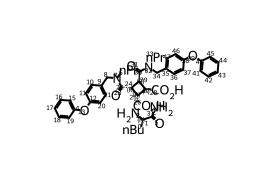 CCCC[C@@H](N)C(N)=O.CCCN(Cc1ccc(Oc2ccccc2)cc1)C(=O)[C@H]1[C@@H](C(=O)O)[C@H](C(=O)O)[C@@H]1C(=O)N(CCC)Cc1ccc(Oc2ccccc2)cc1